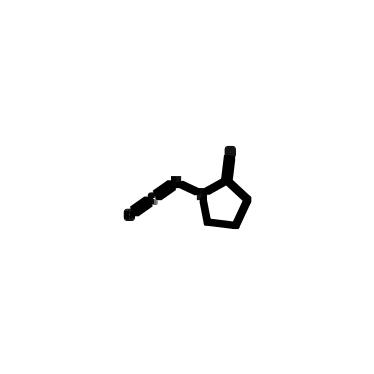 O=C=NN1CCCC1=O